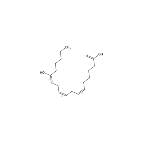 CCCCC/C(O)=C\C/C=C\C/C=C\CCCCC(=O)O